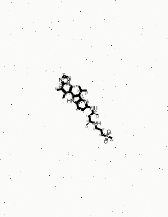 Cc1c(-c2[nH]c3ccc(N[C@@H](C)C[C@H](C)NCCCS(C)(=O)=O)nc3c2C(C)C)cn2ncnc2c1C